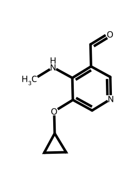 CNc1c(C=O)cncc1OC1CC1